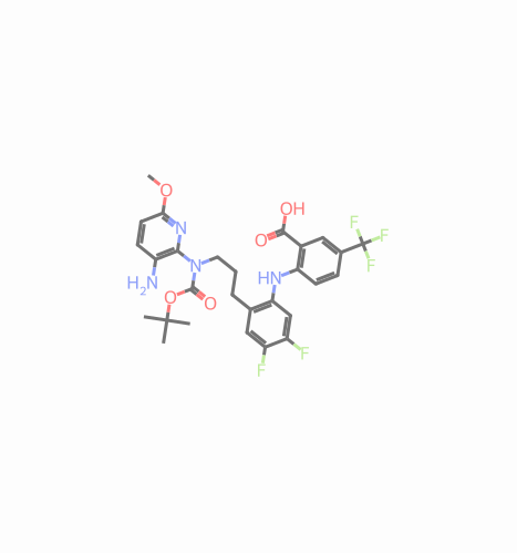 COc1ccc(N)c(N(CCCc2cc(F)c(F)cc2Nc2ccc(C(F)(F)F)cc2C(=O)O)C(=O)OC(C)(C)C)n1